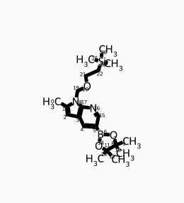 Cc1cc2cc(B3OC(C)(C)C(C)(C)O3)cnc2n1COCC[Si](C)(C)C